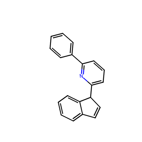 C1=CC(c2cccc(-c3ccccc3)n2)c2ccccc21